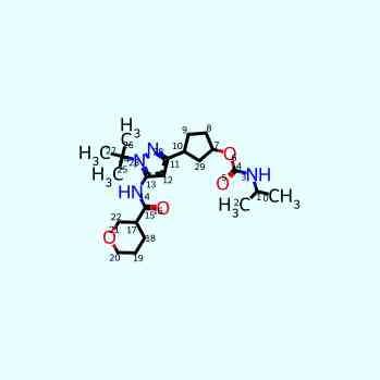 CC(C)NC(=O)OC1CCC(c2cc(NC(=O)C3CCCOC3)n(C(C)(C)C)n2)C1